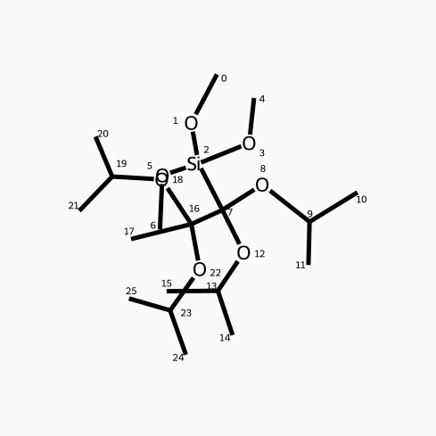 CO[Si](OC)(OC)C(OC(C)C)(OC(C)C)C(C)(OC(C)C)OC(C)C